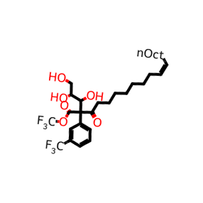 CCCCCCCC/C=C\CCCCCCCC(=O)C(C(=O)OC(F)(F)F)(c1cccc(C(F)(F)F)c1)C(O)C(O)CO